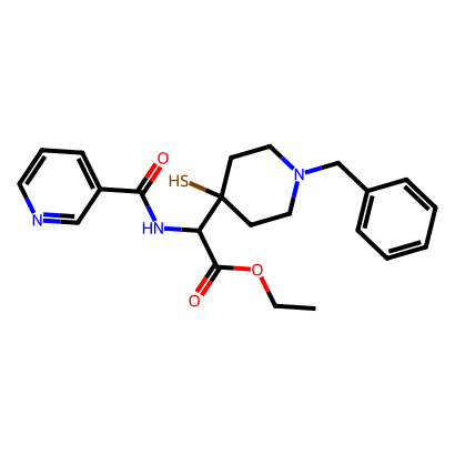 CCOC(=O)C(NC(=O)c1cccnc1)C1(S)CCN(Cc2ccccc2)CC1